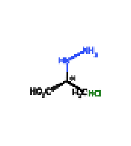 C[C@H](NN)C(=O)O.Cl